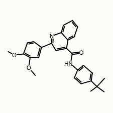 COc1ccc(-c2cc(C(=O)Nc3ccc(C(C)(C)C)cc3)c3ccccc3n2)cc1OC